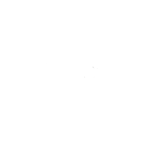 O=C(O)CCCCCCCCCCC(=O)O.O=C(O)CCCCCCCCCCCCC(=O)O.O=C(O)[C@H]1CCCC[C@@H]1C(=O)O